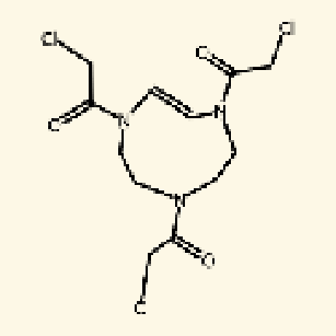 O=C(CCl)N1/C=C/N(C(=O)CCl)CCN(C(=O)CCl)CC1